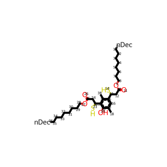 CCCCCCCCCCCCCCCCCCOC(=O)CC(S)c1cc(C)c(O)c(C(S)CC(=O)OCCCCCCCCCCCCCCCCCC)c1C